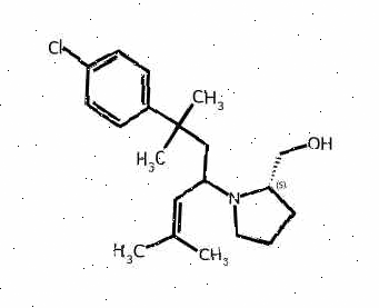 CC(C)=CC(CC(C)(C)c1ccc(Cl)cc1)N1CCC[C@H]1CO